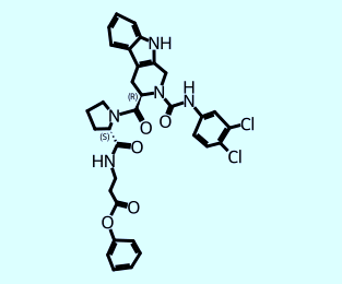 O=C(CCNC(=O)[C@@H]1CCCN1C(=O)[C@H]1Cc2c([nH]c3ccccc23)CN1C(=O)Nc1ccc(Cl)c(Cl)c1)Oc1ccccc1